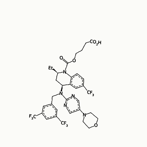 CC[C@@H]1C[C@H](N(Cc2cc(C(F)(F)F)cc(C(F)(F)F)c2)c2ncc(N3CCOCC3)cn2)c2cc(C(F)(F)F)ccc2N1C(=O)OCCCC(=O)O